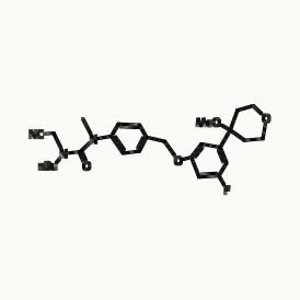 CCCCN(CC#N)C(=O)N(C)c1ccc(COc2cc(F)cc(C3(OC)CCOCC3)c2)cc1